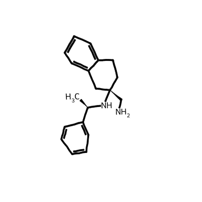 C[C@@H](N[C@@]1(CN)CCc2ccccc2C1)c1ccccc1